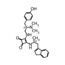 C[C@@H](CC1=CCc2ccccc21)Nc1c(NC[C@@H](Cc2ccc(O)cc2)N(C)C)c(=O)c1=O